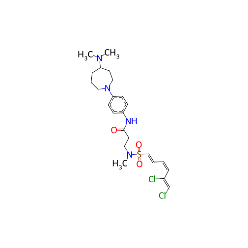 CN(C)C1CCCN(c2ccc(NC(=O)CCN(C)S(=O)(=O)/C=C/C=C\C(Cl)=C\Cl)cc2)CC1